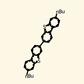 CCCCc1ccc2c(c1)sc1cc(-c3ccc4c(c3)sc3cc(CCCC)ccc34)ccc12